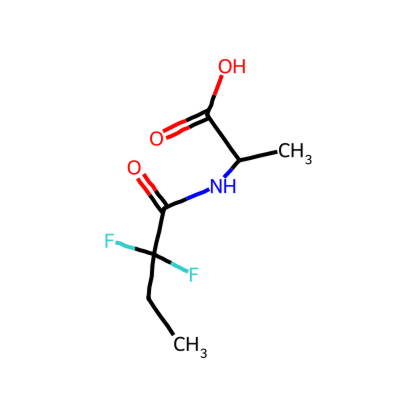 CCC(F)(F)C(=O)NC(C)C(=O)O